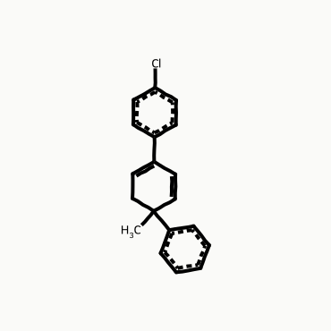 CC1(c2ccccc2)C=CC(c2ccc(Cl)cc2)=CC1